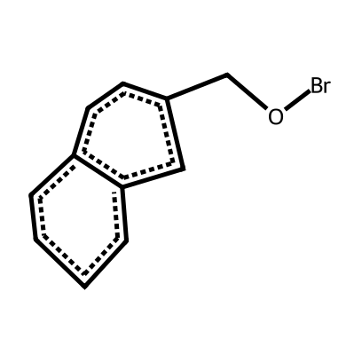 BrOCc1ccc2ccccc2c1